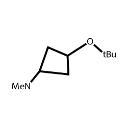 CNC1CC(OC(C)(C)C)C1